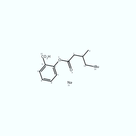 CC(CC(=O)Oc1ccccc1C(=O)O)CC(C)(C)C.[Na]